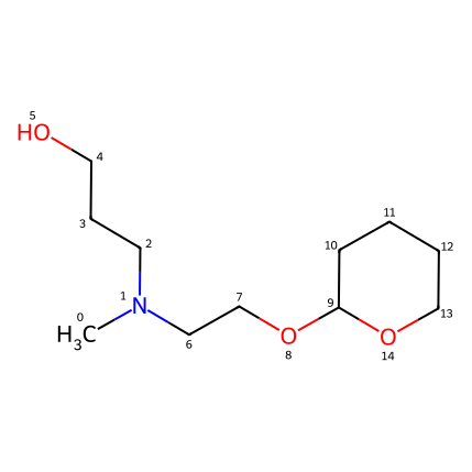 CN(CCCO)CCOC1CCCCO1